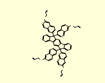 C=CCOc1ccc2cc(C3(c4ccc5cc(OCC=C)ccc5c4)c4ccccc4-c4cc5c(cc43)-c3ccccc3C5(c3ccc4cc(OCC=C)ccc4c3)c3ccc4cc(OCC=C)ccc4c3)ccc2c1